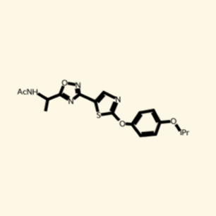 CC(=O)NC(C)c1nc(-c2cnc(Oc3ccc(OC(C)C)cc3)s2)no1